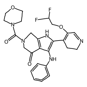 O=C1CN(C(=O)N2CCOCC2)Cc2[nH]c(C3=C(OCC(F)F)C=NCC3)c(NC3=C=C=CC=C3)c21